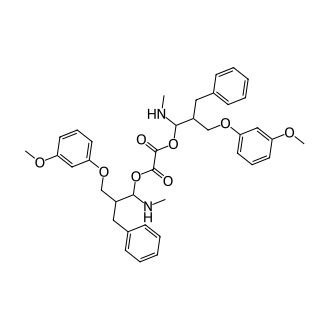 CNC(OC(=O)C(=O)OC(NC)C(COc1cccc(OC)c1)Cc1ccccc1)C(COc1cccc(OC)c1)Cc1ccccc1